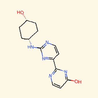 Oc1ccnc(-c2ccnc(N[C@H]3CC[C@@H](O)CC3)n2)n1